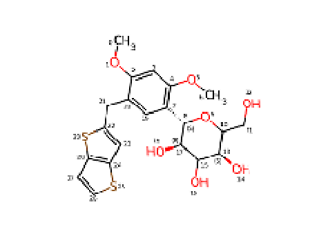 COc1cc(OC)c([C@@H]2OC(CO)[C@@H](O)C(O)[C@H]2O)cc1Cc1cc2sccc2s1